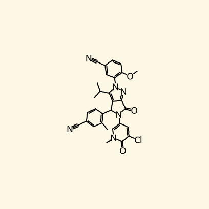 COc1ccc(C#N)cc1-n1nc2c(c1C(C)C)C(c1ccc(C#N)cc1C)N(c1cc(Cl)c(=O)n(C)c1)C2=O